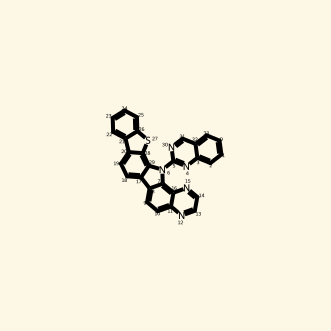 c1ccc2nc(-n3c4c(ccc5nccnc54)c4ccc5c6ccccc6sc5c43)ncc2c1